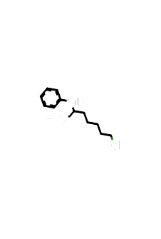 [SiH3]C(CCCCCCl)[SiH2]c1ccccc1